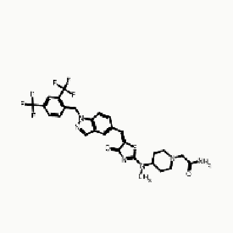 CN(C1=NC(=O)C(=Cc2ccc3c(cnn3Cc3ccc(C(F)(F)F)cc3C(F)(F)F)c2)S1)C1CCN(CC(N)=O)CC1